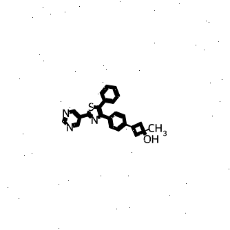 C[C@]1(O)C[C@@H](c2ccc(-c3nc(-c4cncnc4)sc3-c3ccccc3)cc2)C1